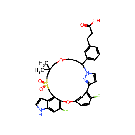 CC1(C)COCCC(c2cccc(CCC(=O)O)c2)n2ccc(n2)-c2cc(ccc2F)Oc2c(F)cc3[nH]ccc3c2CS(=O)(=O)C1